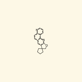 c1cnc2ccc3cc4c(nc3c2c1)OCC41CCCC1